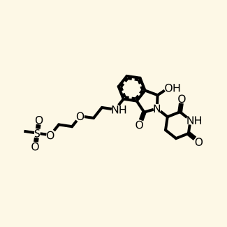 CS(=O)(=O)OCCOCCNc1cccc2c1C(=O)N(C1CCC(=O)NC1=O)C2O